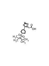 CC(C)N(C(C)C)S(=O)(=O)c1ccc(-c2nnnn2CC(=O)O)cc1